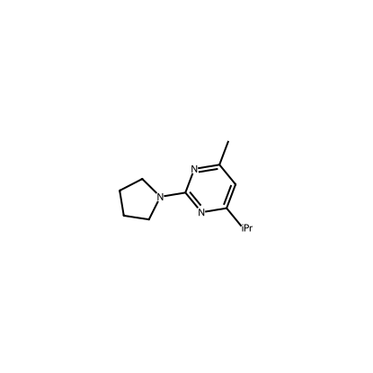 Cc1cc(C(C)C)nc(N2CCCC2)n1